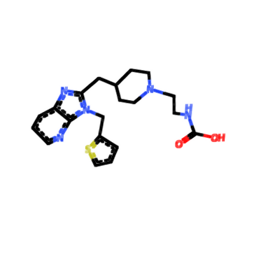 O=C(O)NCCN1CCC(Cc2nc3cccnc3n2Cc2cccs2)CC1